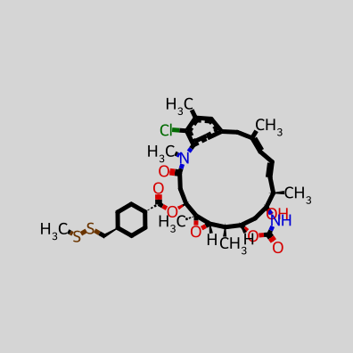 CSSC[C@H]1CC[C@H](C(=O)O[C@H]2CC(=O)N(C)c3cc(cc(C)c3Cl)C/C(C)=C/C=C/[C@@H](C)[C@@]3(O)C[C@H](OC(=O)N3)[C@@H](C)[C@@H]3O[C@@]23C)CC1